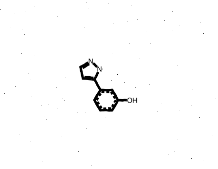 Oc1cccc(C2=CC=N[N]2)c1